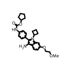 COCCOc1ccc2c(N)c(-c3ccc(NC(=O)OC4CCCC4)cc3)n(C3CCC3)c2c1